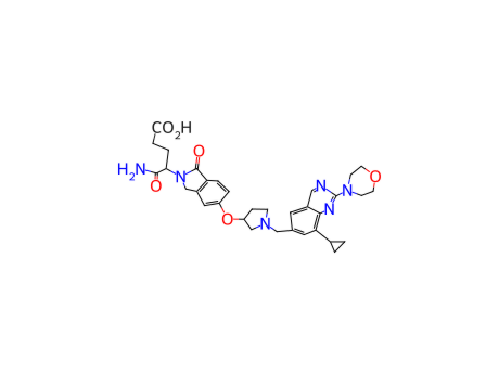 NC(=O)C(CCC(=O)O)N1Cc2cc(OC3CCN(Cc4cc(C5CC5)c5nc(N6CCOCC6)ncc5c4)C3)ccc2C1=O